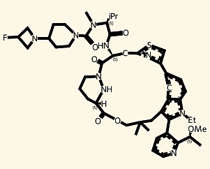 CCn1c(-c2cccnc2[C@H](C)OC)c2c3cc(ccc31)-c1csc(n1)C[C@H](NC(=O)[C@H](C(C)C)N(C)C(=O)N1CCC(N3CC(F)C3)CC1)C(=O)N1CCC[C@H](N1)C(=O)OCC(C)(C)C2